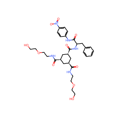 O=C(Nc1ccc([N+](=O)[O-])cc1)C(Cc1ccccc1)NC(=O)[C@@H]1C[C@H](C(=O)NCCOCCO)C[C@H](C(=O)NCCOCCO)C1